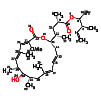 C=CC(C)C(OC(=O)[C@@H](C)C[C@H](C)[C@@H]1C/C=C/C=C(\C)C[C@H](C)C(O)[C@H](C)/C=C(C)/C=C(\OC)C(=O)O1)C(C)C